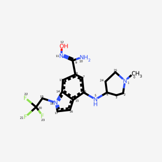 CN1CCC(Nc2cc(C(N)=NO)cc3c2ccn3CC(F)(F)F)CC1